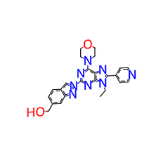 CCn1c(-c2ccncc2)nc2c(N3CCOCC3)nc(-n3cc4ccc(CO)cc4n3)nc21